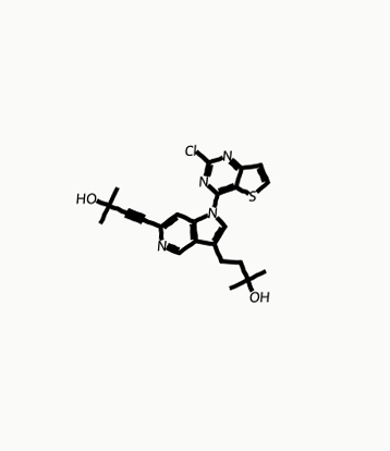 CC(C)(O)C#Cc1cc2c(cn1)c(CCC(C)(C)O)cn2-c1nc(Cl)nc2ccsc12